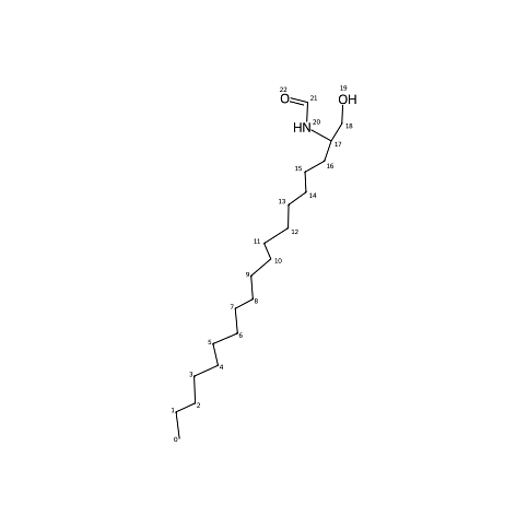 CCCCCCCCCCCCCCCCCC(CO)NC=O